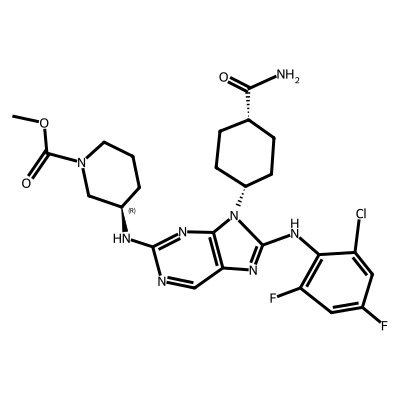 COC(=O)N1CCC[C@@H](Nc2ncc3nc(Nc4c(F)cc(F)cc4Cl)n([C@H]4CC[C@@H](C(N)=O)CC4)c3n2)C1